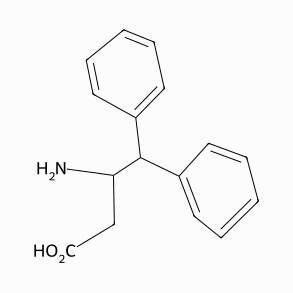 NC(CC(=O)O)C(c1ccccc1)c1ccccc1